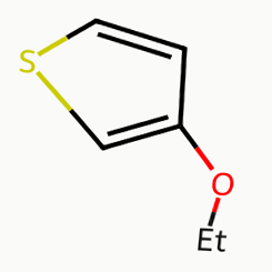 [CH2]COc1ccsc1